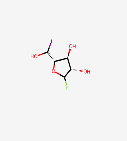 OC(I)[C@H]1O[C](F)[C@@H](O)[C@@H]1O